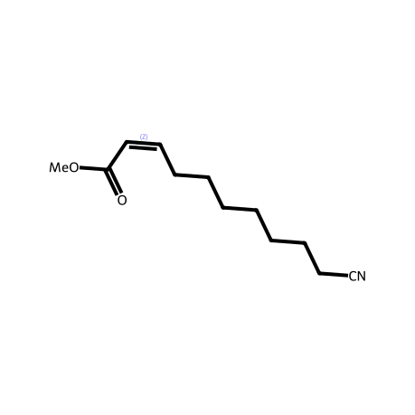 COC(=O)/C=C\CCCCCCCC#N